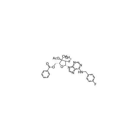 CC(=O)O[C@]1(C)[C@@H](COC(=O)c2ccccc2)O[C@@H](n2cnc3c(NCc4ccc(F)cc4)ncnc32)[C@]1(C)F